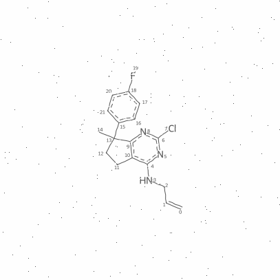 C=CCNc1nc(Cl)nc2c1CCC2(C)c1ccc(F)cc1